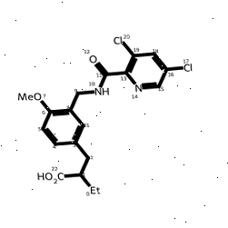 CCC(Cc1ccc(OC)c(CNC(=O)c2ncc(Cl)cc2Cl)c1)C(=O)O